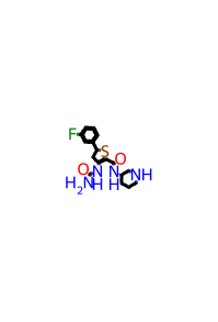 NC(=O)NC1=C(C(=O)N[C@H]2CCCNC2)SC(c2cccc(F)c2)C1